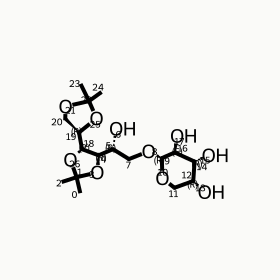 CC1(C)O[C@H]([C@H](O)CO[C@H]2OC[C@@H](O)[C@@H](O)[C@@H]2O)[C@@H]([C@H]2COC(C)(C)O2)O1